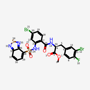 COC(=O)[C@H](Cc1ccc(F)c(Br)c1)NC(=O)c1ccc(Br)cc1NS(=O)(=O)c1cccc2nsnc12